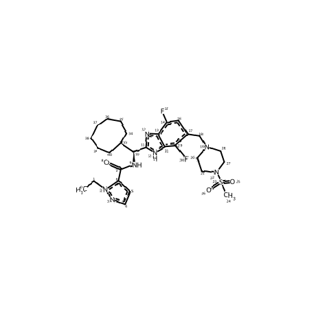 CCn1nccc1C(=O)N[C@H](c1nc2c(F)cc(CN3CCN(S(C)(=O)=O)CC3)c(F)c2[nH]1)C1CCCCCCC1